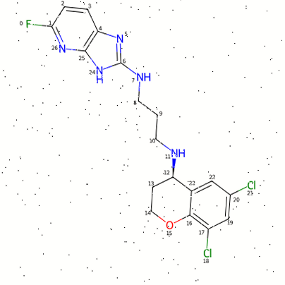 Fc1ccc2nc(NCCCN[C@@H]3CCOc4c(Cl)cc(Cl)cc43)[nH]c2n1